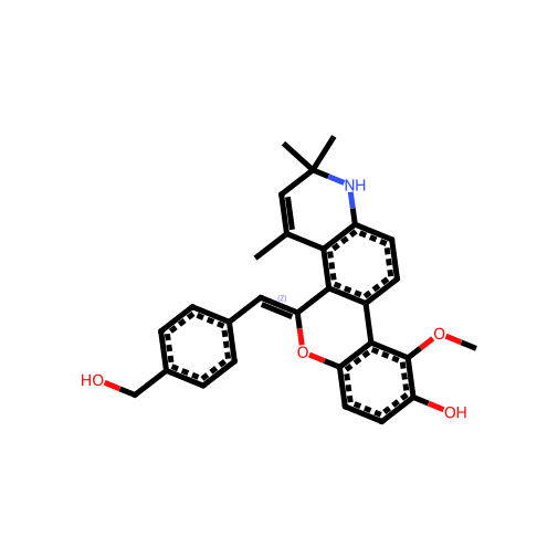 COc1c(O)ccc2c1-c1ccc3c(c1/C(=C/c1ccc(CO)cc1)O2)C(C)=CC(C)(C)N3